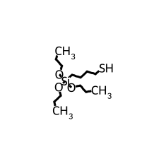 CCCO[Si](CCCCS)(OCCC)OCCC